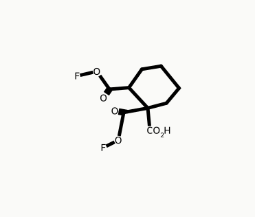 O=C(OF)C1CCCCC1(C(=O)O)C(=O)OF